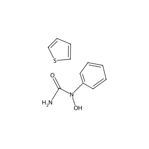 NC(=O)N(O)c1ccccc1.c1ccsc1